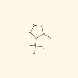 CC1CCC[C]1C(C)(C)C